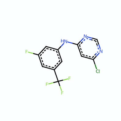 Fc1cc(Nc2cc(Cl)ncn2)cc(C(F)(F)F)c1